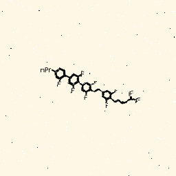 CCCc1ccc(-c2cc(F)c(-c3cc(F)c(/C=C/c4cc(F)c(C/C=C/C(F)F)c(F)c4)c(F)c3)c(F)c2)c(F)c1